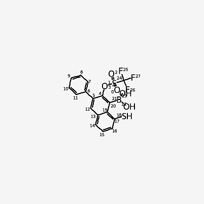 O=S(=O)(Oc1c(-c2ccccc2)cc2cccc(S)c2c1B(O)O)C(F)(F)F